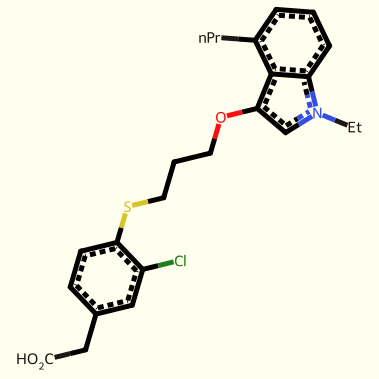 CCCc1cccc2c1c(OCCCSc1ccc(CC(=O)O)cc1Cl)cn2CC